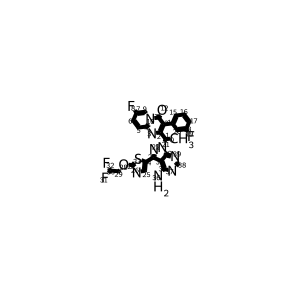 CC(c1nc2ccc(F)cn2c(=O)c1-c1cccc(F)c1)n1nc(-c2cnc(OCC(F)F)s2)c2c(N)ncnc21